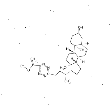 C=C(OCC)c1nnc(CCC(C)[C@H]2CC[C@H]3[C@@H]4CC[C@@H]5C[C@H](O)CC[C@]5(C)[C@H]4CC[C@]23C)nn1